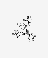 CC(C)(c1cc(-c2cnc(N)cc2C(F)(F)F)nc(N2CCOCC2)n1)S(C)(=O)=O